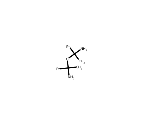 CC(C)C(C)(N)OC(C)(N)C(C)C